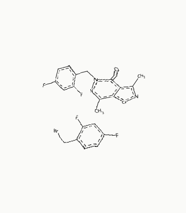 Cc1nn(Cc2ccc(F)cc2F)c(=O)c2c(C)noc12.Fc1ccc(CBr)c(F)c1